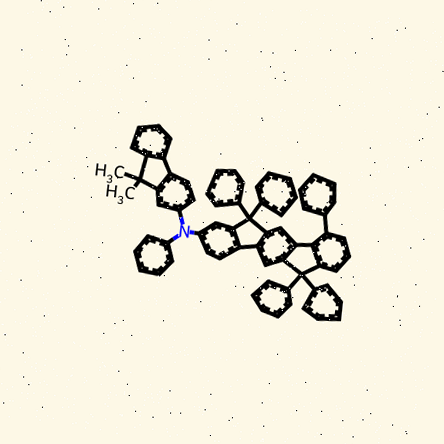 CC1(C)c2ccccc2-c2ccc(N(c3ccccc3)c3ccc4c(c3)C(c3ccccc3)(c3ccccc3)c3cc5c(cc3-4)C(c3ccccc3)(c3ccccc3)c3cccc(-c4ccccc4)c3-5)cc21